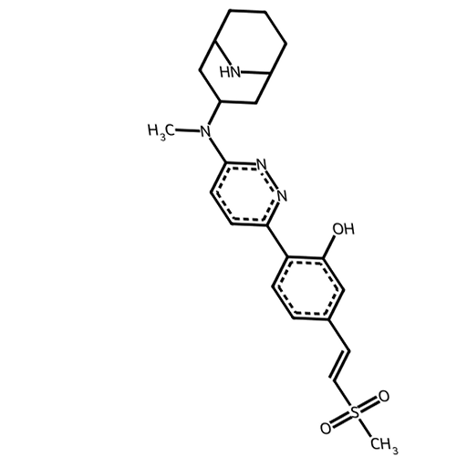 CN(c1ccc(-c2ccc(/C=C/S(C)(=O)=O)cc2O)nn1)C1CC2CCCC(C1)N2